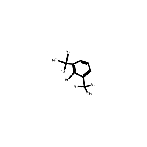 [2H]C([2H])(O)c1cccc(C([2H])([2H])O)c1Br